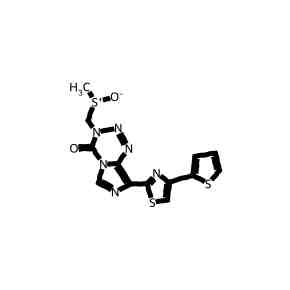 C[S+]([O-])Cn1nnc2c(-c3nc(-c4cccs4)cs3)ncn2c1=O